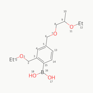 CCOCc1cc(COCC(C)OCC)ccc1B(O)O